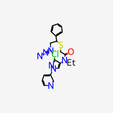 CCN(C(=O)CSC(CN=[N+]=[N-])c1ccccc1)c1cn(-c2cccnc2)nc1Cl